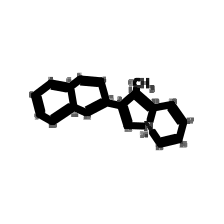 Cc1c(-c2ccc3ccccc3c2)cn2ccccc12